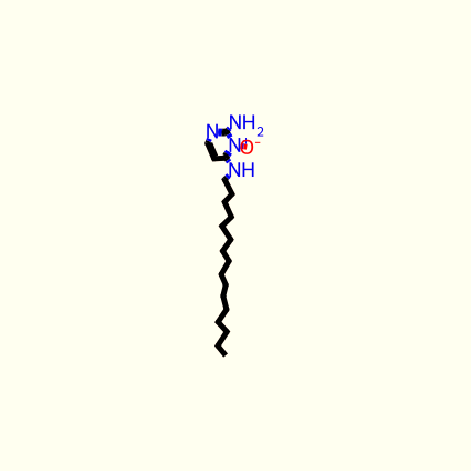 CCCCCCCCCCCCCCCCNc1ccnc(N)[n+]1[O-]